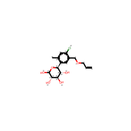 C=CCOCc1cc([C@@H]2OC(O)[C@@H](O)[C@H](O)[C@H]2O)c(C)cc1Cl